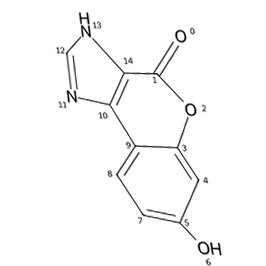 O=c1oc2cc(O)ccc2c2nc[nH]c12